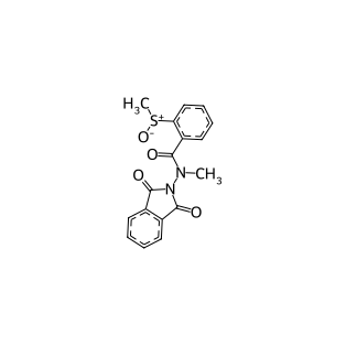 CN(C(=O)c1ccccc1[S+](C)[O-])N1C(=O)c2ccccc2C1=O